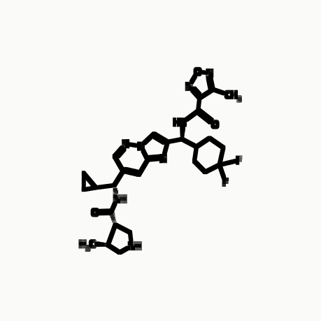 Cc1nonc1C(=O)N[C@H](c1cn2ncc([C@H](NC(=O)[C@@H]3CNC[C@H]3C)C3CC3)cc2n1)C1CCC(F)(F)CC1